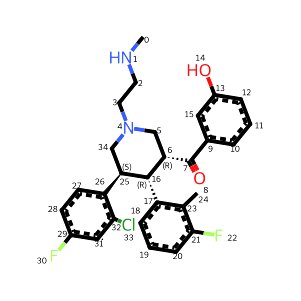 CNCCN1C[C@H](C(=O)c2cccc(O)c2)[C@H](c2cccc(F)c2C)[C@@H](c2ccc(F)[c]c2Cl)C1